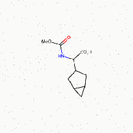 COC(=O)NC(C(=O)O)C1CC2CC2C1